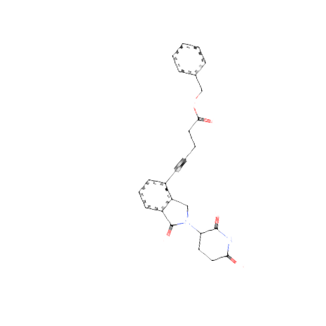 O=C1CCC(N2Cc3c(C#CCCC(=O)OCc4ccccc4)cccc3C2=O)C(=O)N1